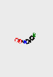 CC1(c2ccc(Br)cc2)CCN(CCOC=O)CC1